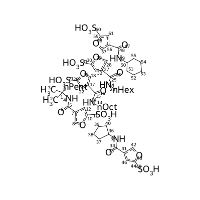 CCCCCC(C)(C)NC(=O)c1coc(S(=O)(=O)O)c1.CCCCCCCCNC(=O)c1coc(S(=O)(=O)O)c1.CCCCCCNC(=O)c1coc(S(=O)(=O)O)c1.O=C(NC1CCCC1)c1coc(S(=O)(=O)O)c1.O=C(NC1CCCCC1)c1coc(S(=O)(=O)O)c1